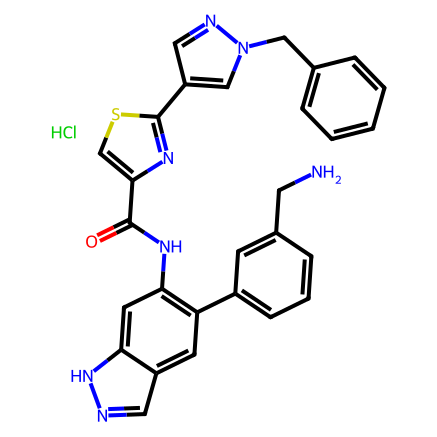 Cl.NCc1cccc(-c2cc3cn[nH]c3cc2NC(=O)c2csc(-c3cnn(Cc4ccccc4)c3)n2)c1